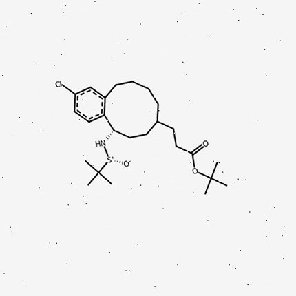 CC(C)(C)OC(=O)CCC1CCCCc2cc(Cl)ccc2[C@@H](N[S@+]([O-])C(C)(C)C)CC1